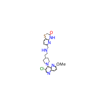 COc1ccc2ncc(Cl)c(N3CCC(CCNCc4ccc5c(n4)NC(=O)CS5)CC3)c2n1